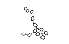 c1ccc(-c2cccc(-c3ccc(N(c4ccc(-c5ccc(-c6cccc(-c7ccc8ccccc8c7)c6)cc5)cc4)c4cccc5c4-c4ccccc4C5(c4ccccc4)c4ccccc4)cc3)c2)cc1